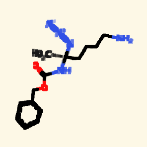 [N-]=[N+]=N[C@@](CCCCN)(NC(=O)OCc1ccccc1)C(=O)O